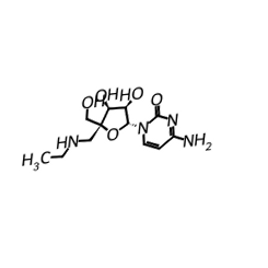 CCNC[C@]1(CO)O[C@@H](n2ccc(N)nc2=O)[C@H](O)[C@@H]1O